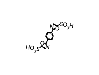 O=S(=O)(O)c1cnc(-c2ccc(-c3ncc(S(=O)(=O)O)o3)cc2)o1